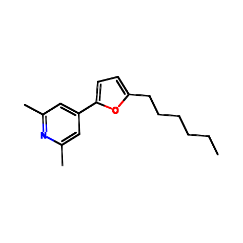 CCCCCCc1ccc(-c2cc(C)nc(C)c2)o1